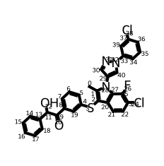 Cc1c(Sc2cccc(C(=O)C(O)c3ccccc3)c2)c2ccc(Cl)c(F)c2n1-c1cnn(-c2cccc(Cl)c2)c1